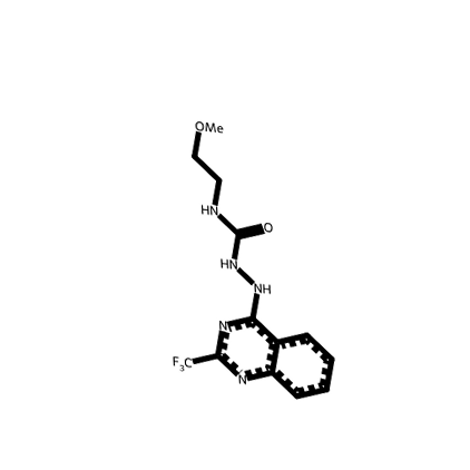 COCCNC(=O)NNc1nc(C(F)(F)F)nc2ccccc12